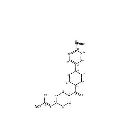 C=C(C1CCC(C=C(F)C#N)CC1)C1CCC(c2ccc(CCCCC)cc2)CC1